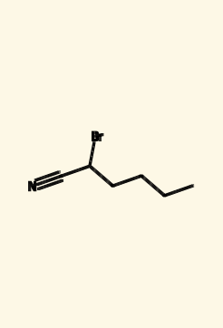 CCCCC(Br)C#N